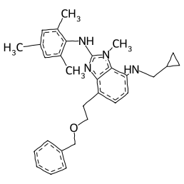 Cc1cc(C)c(Nc2nc3c(CCOCc4ccccc4)ccc(NCC4CC4)c3n2C)c(C)c1